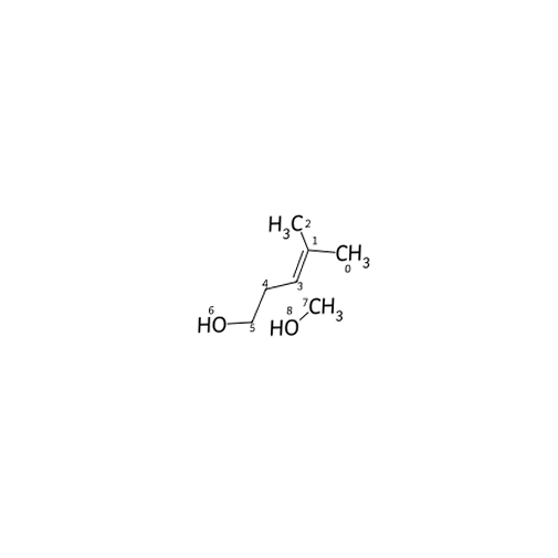 CC(C)=CCCO.CO